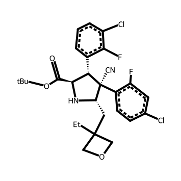 CCC1(C[C@@H]2N[C@@H](C(=O)OC(C)(C)C)[C@H](c3cccc(Cl)c3F)[C@@]2(C#N)c2ccc(Cl)cc2F)COC1